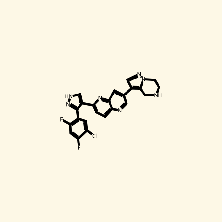 Fc1cc(F)c(-c2n[nH]cc2-c2ccc3ncc(-c4cnn5c4CNCC5)cc3n2)cc1Cl